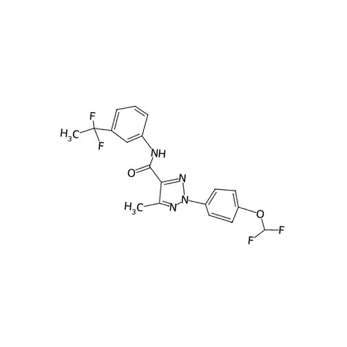 Cc1nn(-c2ccc(OC(F)F)cc2)nc1C(=O)Nc1cccc(C(C)(F)F)c1